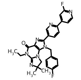 CCN1C(=O)c2nc(-c3ccc(-c4ccnc(F)c4)nc3)n(Cc3ccc(F)cc3)c2N2CC(C)(C)N=C12